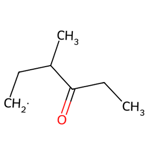 [CH2]CC(C)C(=O)CC